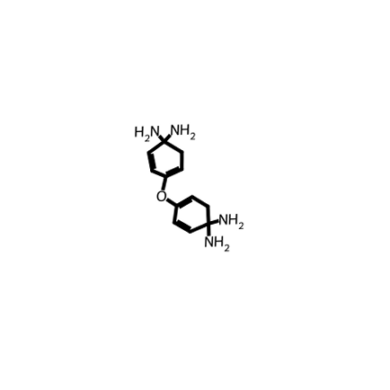 NC1(N)C=CC(OC2=CCC(N)(N)C=C2)=CC1